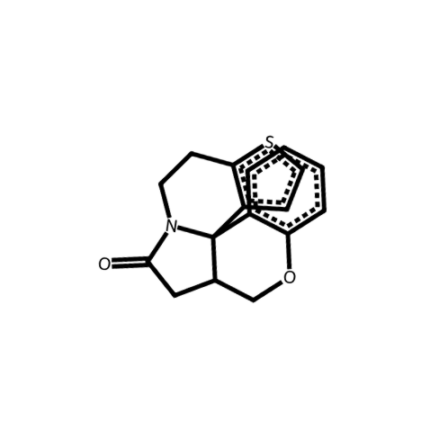 O=C1CC2COc3ccccc3C23c2ccsc2CCN13